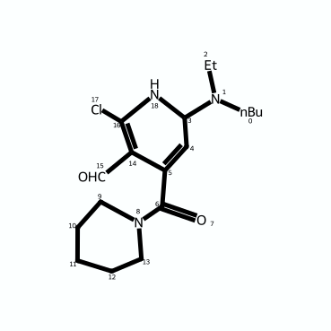 CCCCN(CC)C1C=C(C(=O)N2CCCCC2)C(C=O)=C(Cl)N1